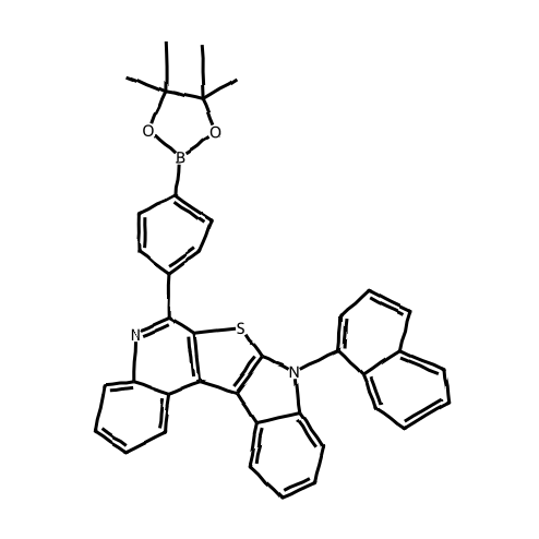 CC1(C)OB(c2ccc(-c3nc4ccccc4c4c3sc3c4c4ccccc4n3-c3cccc4ccccc34)cc2)OC1(C)C